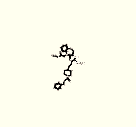 CCOC(=O)[C@@H](CCCC1CCN(C(=O)OCc2ccccc2)CC1)N[C@H]1CSc2ccccc2N(CC(=O)OC(C)(C)C)C1=O